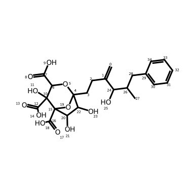 C=C(CCC12OC(C(=O)O)C(O)(C(=O)O)C(C(=O)O)(O1)C(O)C2O)C(O)C(C)Cc1ccccc1